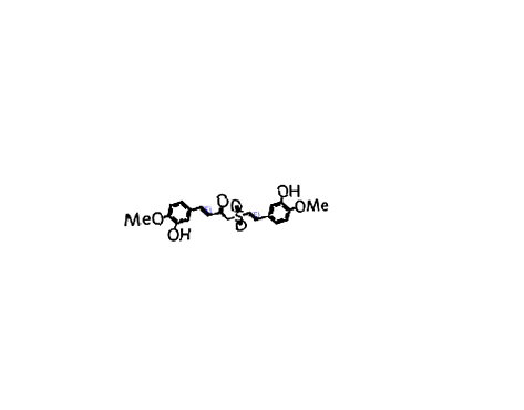 COc1ccc(/C=C/C(=O)CS(=O)(=O)/C=C/c2ccc(OC)c(O)c2)cc1O